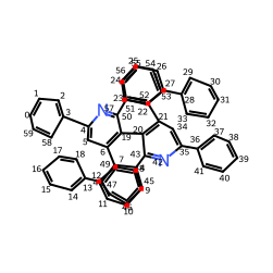 c1ccc(-c2cc(-c3ccccc3-c3ccccc3)c(-c3c(-c4ccccc4-c4ccccc4)cc(-c4ccccc4)nc3-c3ccccc3)c(-c3ccccc3)n2)cc1